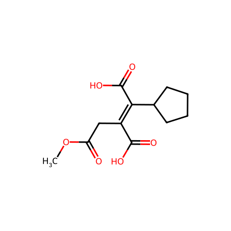 COC(=O)C/C(C(=O)O)=C(\C(=O)O)C1CCCC1